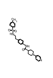 Cc1ccc(S(=O)(=O)NCCc2ccc(NC(=O)C3CCN(c4ccncc4)CC3)cc2)cc1